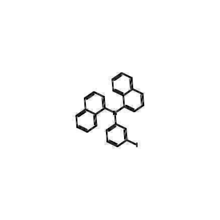 Ic1cccc(N(c2cccc3ccccc23)c2cccc3ccccc23)c1